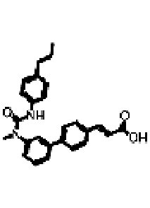 CCCc1ccc(NC(=O)N(C)c2cccc(-c3ccc(C=CC(=O)O)cc3)c2)cc1